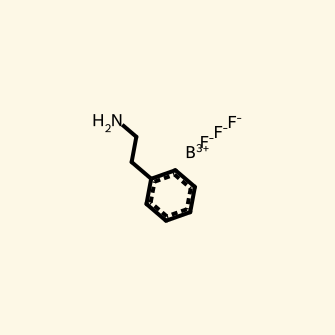 NCCc1ccccc1.[B+3].[F-].[F-].[F-]